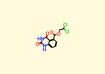 O=C(OCC(Cl)Cl)c1cccc2[nH]c(=O)[nH]c(=O)c12